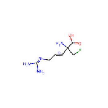 NC(N)=NC/C=C/C(N)(CF)C(=O)O